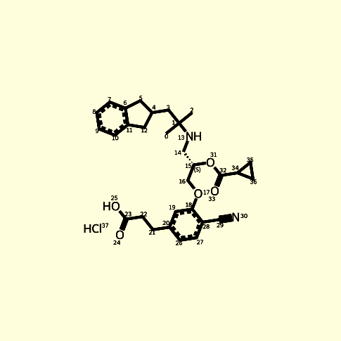 CC(C)(CC1Cc2ccccc2C1)NC[C@@H](COc1cc(CCC(=O)O)ccc1C#N)OC(=O)C1CC1.Cl